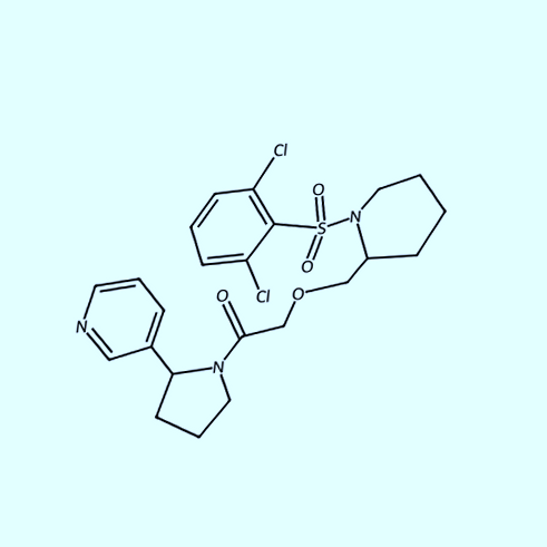 O=C(COCC1CCCCN1S(=O)(=O)c1c(Cl)cccc1Cl)N1CCCC1c1cccnc1